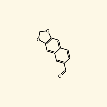 O=Cc1ccc2cc3c(cc2c1)OCO3